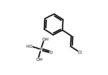 ClC=Cc1ccccc1.O=P(O)(O)O